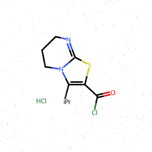 CC(C)C1=C(C(=O)Cl)SC2=NCCCN21.Cl